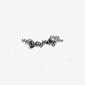 COC[C@H]1C[C@@H](c2ncc(-c3ccc4c(c3)COc3cc5c(ccc6nc([C@@H]7CC[C@@H]8CC(C)[C@H](NC(=O)OC)C(=O)N87)[nH]c65)cc3-4)[nH]2)N(C(=O)[C@H](NC(=O)OC)c2ccccc2)C1